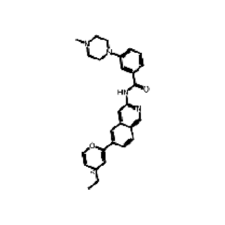 CC[C@H]1C=COC(c2ccc3cnc(NC(=O)c4cccc(N5CCN(C)CC5)c4)cc3c2)=C1